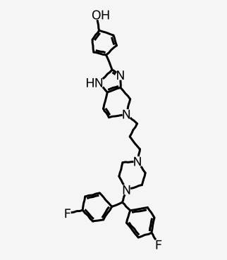 Oc1ccc(-c2nc3c([nH]2)C=CN(CCCN2CCN(C(c4ccc(F)cc4)c4ccc(F)cc4)CC2)C3)cc1